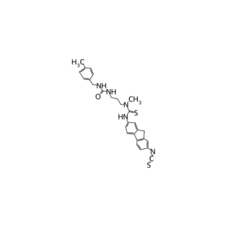 Cc1ccc(CNC(=O)NCCCN(C)C(=S)Nc2ccc3c(c2)Cc2cc(N=C=S)ccc2-3)cc1